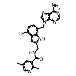 Cc1cc(C(=O)NCc2cc3c(Cl)ccc(Cn4cnc5c(N)ncnc54)c3[nH]2)c(C)nn1